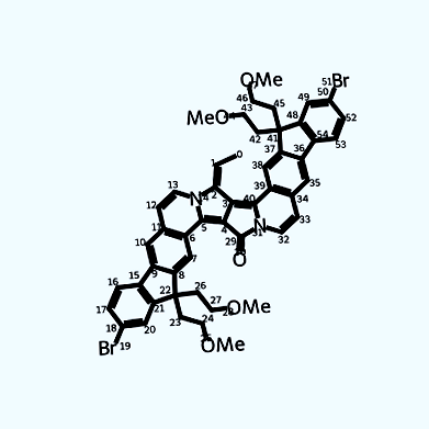 CC=c1c2c(c3c4cc5c(cc4ccn13)-c1ccc(Br)cc1C5(CCOC)CCOC)C(=O)N1C=Cc3cc4c(cc3C=21)C(CCOC)(CCOC)c1cc(Br)ccc1-4